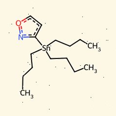 CCC[CH2][Sn]([CH2]CCC)([CH2]CCC)[c]1ccon1